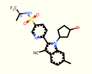 Cc1ccc2c(C#N)c(-c3ccc(S(=O)(=O)N[C@@H](C)C(F)(F)F)cn3)n(C3CCC(Br)C3)c2c1